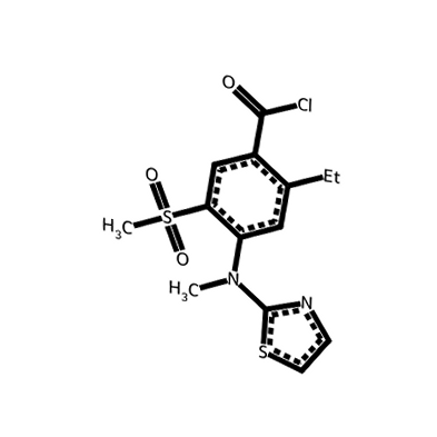 CCc1cc(N(C)c2nccs2)c(S(C)(=O)=O)cc1C(=O)Cl